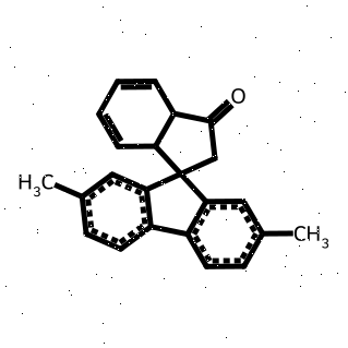 Cc1ccc2c(c1)C1(CC(=O)C3C=CC=CC31)c1cc(C)ccc1-2